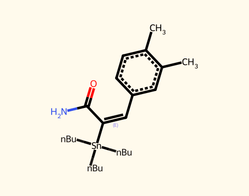 CCC[CH2][Sn]([CH2]CCC)([CH2]CCC)/[C](=C/c1ccc(C)c(C)c1)C(N)=O